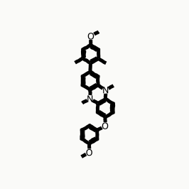 COc1cccc(Oc2ccc3c(c2)N(C)c2ccc(-c4c(C)cc(OC)cc4C)cc2N3C)c1